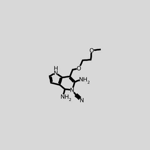 COCCOCC1=C(N)N(C#N)C(N)c2cc[nH]c21